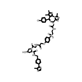 Cc1ncsc1-c1ccc(CNC(=O)[C@@H]2C[C@@H](O)CN2C(=O)CNC(=O)COc2ccc(S(=O)(=O)CCNC(=O)C[C@@H]3N=C(c4ccc(Cl)cc4)c4c(sc(C)c4C)-n4c(C)nnc43)cc2)cc1